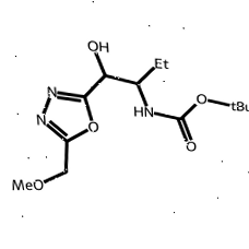 CCC(NC(=O)OC(C)(C)C)C(O)c1nnc(COC)o1